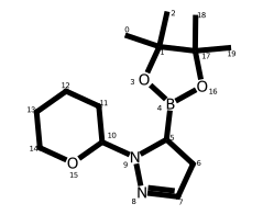 CC1(C)OB(C2CC=NN2C2CCCCO2)OC1(C)C